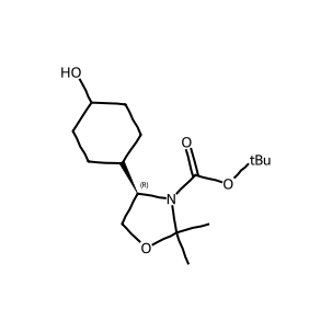 CC(C)(C)OC(=O)N1[C@H](C2CCC(O)CC2)COC1(C)C